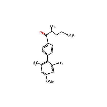 COc1cc(C)c(-c2ccc(C(=O)C(C)CCC(=O)O)cc2)c(C)c1